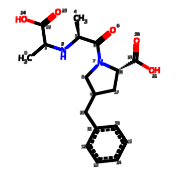 CC(N[C@@H](C)C(=O)N1CC(Cc2ccccc2)C[C@H]1C(=O)O)C(=O)O